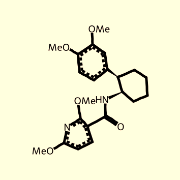 COc1ccc(C(=O)N[C@@H]2CCCC[C@@H]2c2ccc(OC)c(OC)c2)c(OC)n1